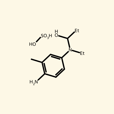 CCC(O)N(CC)c1ccc(N)c(C)c1.O=S(=O)(O)O